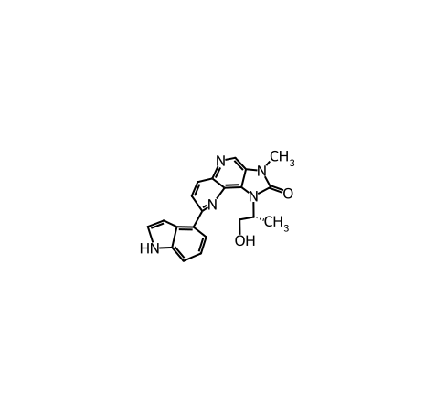 C[C@H](CO)n1c(=O)n(C)c2cnc3ccc(-c4cccc5[nH]ccc45)nc3c21